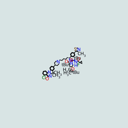 Cc1ncsc1-c1ccc([C@H](CCCCCN2CCC(c3ccc4c(c3)C(C)(C)c3nc(=O)c5c(Cl)cccc5n3-4)CC2)NC(=O)[C@@]2(C(C)(C)C)C[C@@H](O[Si](C)(C)C(C)(C)C)CN2C(=O)[C@@H](NC(=O)C2(F)CC2)C(C)(C)C)cc1